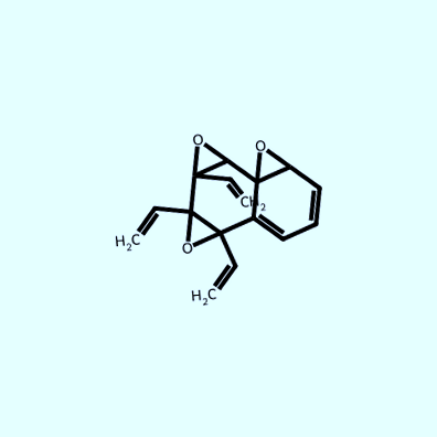 C=CC12OC1(C=C)C1(C=C)OC1C13OC1C=CC=C32